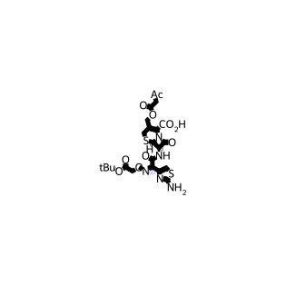 CC(=O)CC(=O)OCC1=C(C(=O)O)N2C(=O)[C@@H](NC(=O)/C(=N\OCC(=O)OC(C)(C)C)c3csc(N)n3)[C@H]2SC1